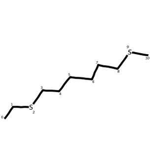 CCSCCCCCCSC